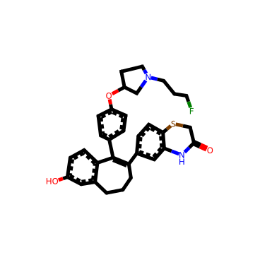 O=C1CSc2ccc(C3=C(c4ccc(OC5CCN(CCCF)C5)cc4)c4ccc(O)cc4CCC3)cc2N1